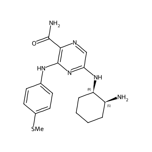 CSc1ccc(Nc2nc(N[C@@H]3CCCC[C@@H]3N)cnc2C(N)=O)cc1